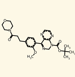 COc1cc(CCC(=O)N2CCOCC2)ccc1C1=NCN(C(=O)OC(C)(C)C)c2nccnc21